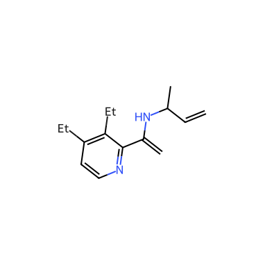 C=CC(C)NC(=C)c1nccc(CC)c1CC